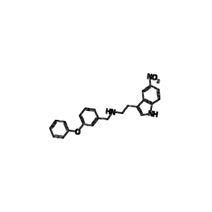 O=[N+]([O-])c1ccc2[nH]cc(CCNCc3cccc(Oc4ccccc4)c3)c2c1